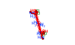 NC(C(=O)NCCOCCOCCOCCOC[C@H](NC(=O)CCCCNc1ccccn1)C(=O)NC(CC(=O)O)c1cc(Cl)cc(Cl)c1)C(N)C(=O)NCCOCCOCCOCCOC[C@H](NC(=O)CCCCNc1ccccn1)C(=O)NC(CC(=O)O)c1cc(Cl)cc(Cl)c1